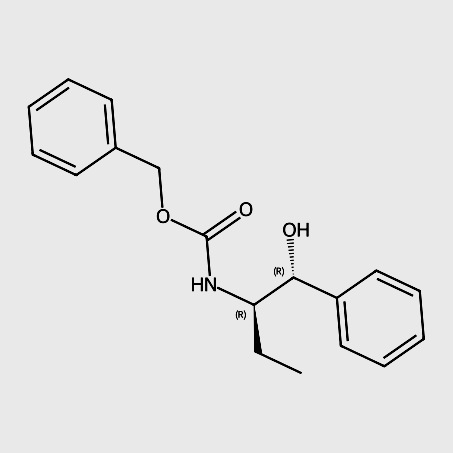 CC[C@@H](NC(=O)OCc1ccccc1)[C@H](O)c1ccccc1